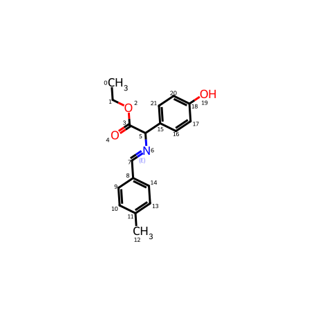 CCOC(=O)C(/N=C/c1ccc(C)cc1)c1ccc(O)cc1